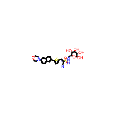 N#C/C(=C\c1ccc(-c2ccc3cc(N4CCOCC4)ccc3c2)s1)S(=O)(=O)NC[C@H]1OC(O)[C@H](O)[C@@H](O)[C@@H]1O